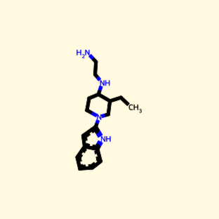 CCC1CN(c2cc3ccccc3[nH]2)CCC1NCCN